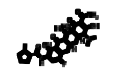 CC1CCC[C@H]1C(=O)Nc1cc(F)c2c(c1O)C(=O)C1=C(O)[C@]3(O)C(=O)C(C(N)=O)=C(O)[C@@H](N(C)C)[C@@H]3C[C@@H]1C2